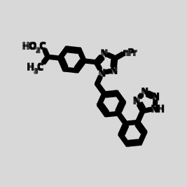 CCCc1nc(-c2ccc(C(C)C(=O)O)cc2)n(Cc2ccc(-c3ccccc3-c3nnn[nH]3)cc2)n1